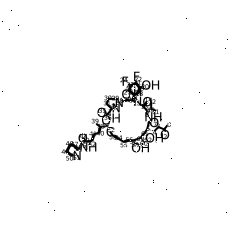 CC(=O)CC[C@H]1C(=O)N[C@@H](C(C)C)C(=O)NC(c2cc(O)c(F)c(F)c2)C(=O)N2CCCC(N2)C(=O)O[C@H](/C(C)=C/C=C/C(=O)Nc2ccccn2)C/C=C/C=C/[C@H](O)[C@H](C)[C@H]1O